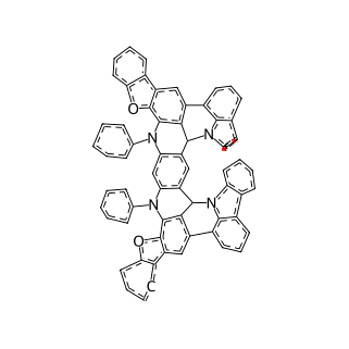 c1ccc(N2c3cc4c(cc3C3c5c(cc6c(oc7ccccc76)c52)-c2cccc5c6ccccc6n3c25)C2c3c(cc5c(oc6ccccc65)c3N4c3ccccc3)-c3cccc4c5ccccc5n2c34)cc1